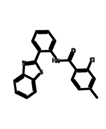 Cc1ccc(C(=O)Nc2ccccc2-c2nc3ccccc3s2)c(Cl)c1